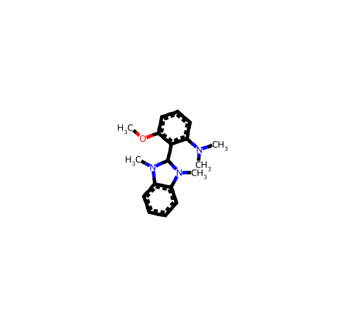 COc1cccc(N(C)C)c1C1N(C)c2ccccc2N1C